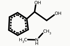 CNC.OCC(O)c1ccccc1